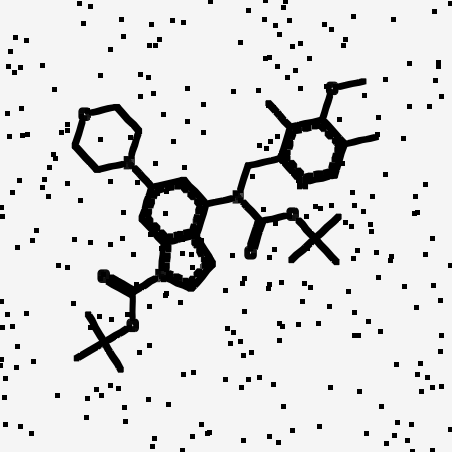 COc1c(C)cnc(CN(C(=O)OC(C)(C)C)c2cc(N3CCOCC3)cc3c2ccn3C(=O)OC(C)(C)C)c1C